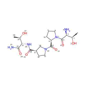 C[C@@H](O)[C@H](N)C(=O)N1CCC[C@@H]1C(=O)N1CC[C@@H](C(=O)N[C@H](C(N)=O)[C@@H](C)O)C1